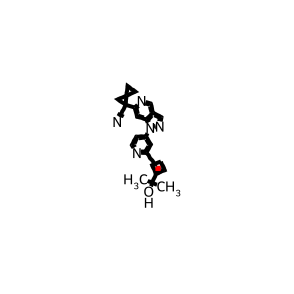 CC(C)(O)C12CC(C1)N(c1cc(-n3ncc4cnc(C5(C#N)CC56CC6)cc43)ccn1)C2